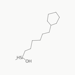 C[SiH](O)CCCCCCC1CCCCC1